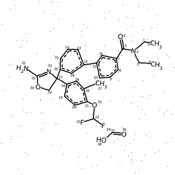 CCN(CC)C(=O)c1cccc(-c2cccc(C3(c4ccc(OC(F)F)c(C)c4)COC(N)=N3)c2)c1.O=CO